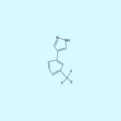 FC(F)(F)c1cccc(-c2cn[nH]c2)c1